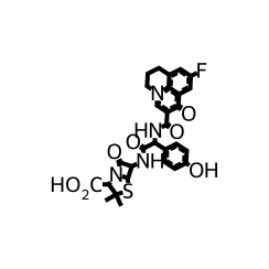 CC1(C)SC2C(NC(=O)C(NC(=O)c3cn4c5c(cc(F)cc5c3=O)CCC4)c3ccc(O)cc3)C(=O)N2C1C(=O)O